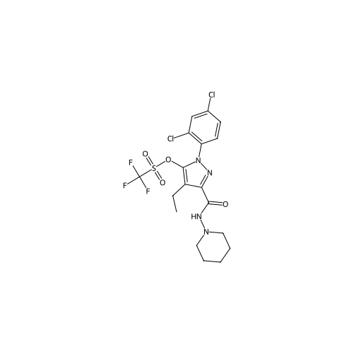 CCc1c(C(=O)NN2CCCCC2)nn(-c2ccc(Cl)cc2Cl)c1OS(=O)(=O)C(F)(F)F